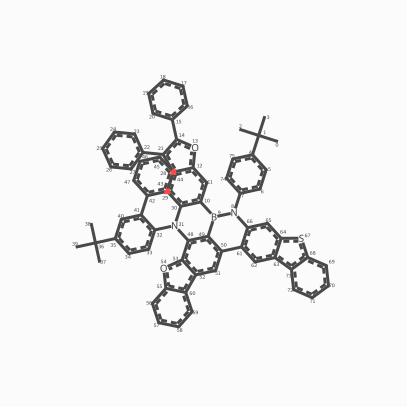 CC(C)(C)c1ccc(N2B3c4cc5oc(-c6ccccc6)c(-c6ccccc6)c5cc4N(c4ccc(C(C)(C)C)cc4-c4ccccc4)c4c3c(cc3c4oc4ccccc43)-c3cc4c(cc32)sc2ccccc24)cc1